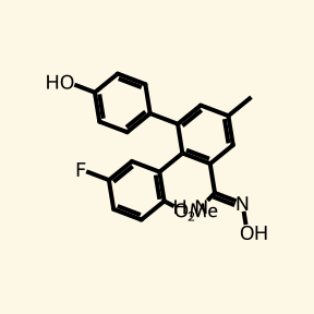 COc1ccc(F)cc1-c1c(/C(N)=N/O)cc(C)cc1-c1ccc(O)cc1